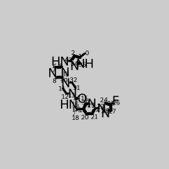 Cc1cc(Nc2cncc(N3CCN(C(=O)N[C@@H](C)c4ccc(-n5cc(F)cn5)nc4)CC3)n2)n[nH]1